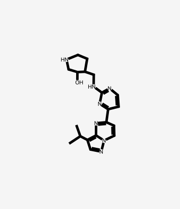 CC(C)c1cnn2ccc(-c3ccnc(NCC4CCNCC4O)n3)nc12